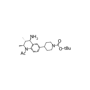 CC(=O)N1c2ccc(C3CCN(C(=O)OC(C)(C)C)CC3)cc2[C@H](N)[C@@H](C)[C@@H]1C